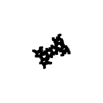 Cc1sc2c3sc(C)c(C)c3c3cc4cc5c(cc4cc3c2c1C)c1c(C)c(C)sc1c1sc(C)c(C)c51